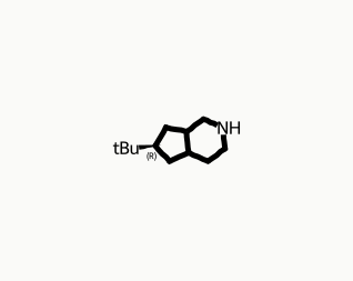 CC(C)(C)[C@@H]1CC2CCNCC2C1